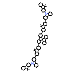 CC1(C)c2cc(-c3ccc4c(c3)C3(c5ccccc5-c5ccccc53)c3cc(-c5ccc6c(c5)C(C)(C)c5cc(-c7ccc8c(c7)c7ccccc7n8-c7ccc8c(c7)C(C)(C)c7ccccc7-8)ccc5-6)ccc3-4)ccc2-c2ccc(-c3ccc4c(c3)c3ccccc3n4-c3ccc4c(c3)C(C)(C)c3ccccc3-4)cc21